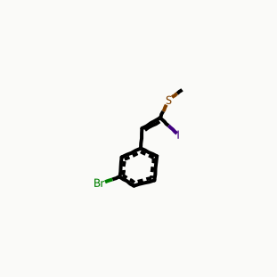 CSC(I)=Cc1cccc(Br)c1